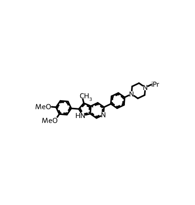 COc1ccc(-c2[nH]c3cnc(-c4ccc(N5CCN(C(C)C)CC5)cc4)cc3c2C)cc1OC